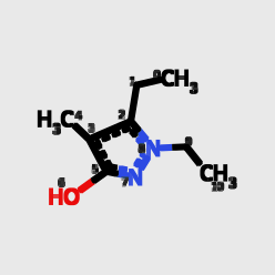 CCc1c(C)c(O)nn1CC